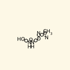 COc1cc2nccc(Oc3ccc(NC(=O)Nc4ccc(O)cc4)cc3)c2cc1C#N